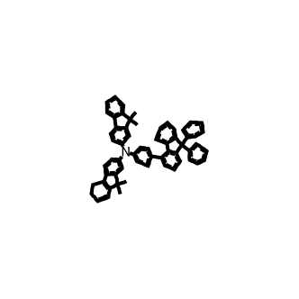 CC1(C)C2=C(CCC=C2)c2ccc(N(c3ccc(-c4cccc5c4-c4ccccc4C5(c4ccccc4)c4ccccc4)cc3)c3ccc4c(c3)C(C)(C)c3ccccc3-4)cc21